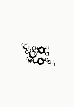 CCCOC(=O)c1nnn(Cc2ccc(OC)cc2)c1CN(CC)c1ccc(Cl)c(Cl)c1